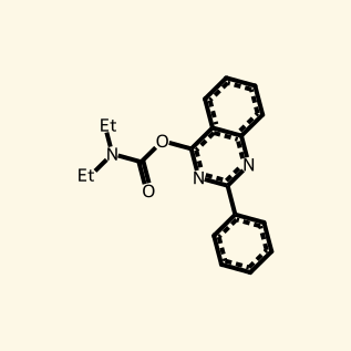 CCN(CC)C(=O)Oc1nc(-c2ccccc2)nc2ccccc12